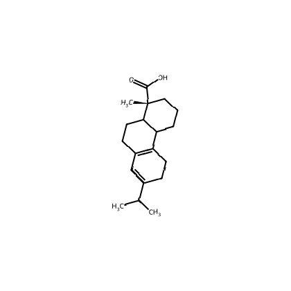 CC(C)C1=CC2=C(CC1)C1CCC[C@@](C)(C(=O)O)C1CC2